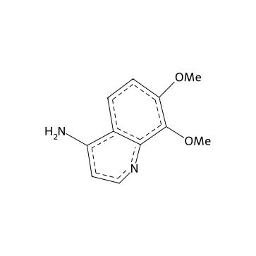 COc1ccc2c(N)ccnc2c1OC